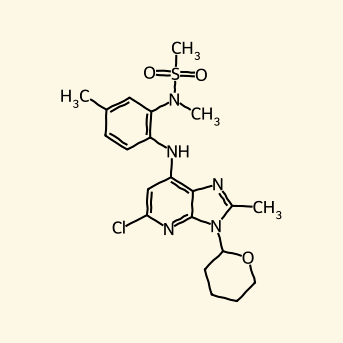 Cc1ccc(Nc2cc(Cl)nc3c2nc(C)n3C2CCCCO2)c(N(C)S(C)(=O)=O)c1